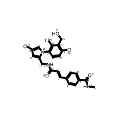 CNC(=O)c1ccc(/C=C/C(=O)NCc2cc(Cl)cn2-c2ccc(Cl)c(CO)c2Cl)cc1